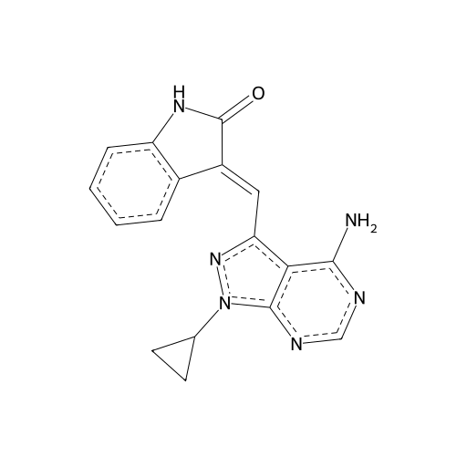 Nc1ncnc2c1c(/C=C1/C(=O)Nc3ccccc31)nn2C1CC1